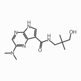 CN(C)c1cnc2[nH]cc(C(=O)NCC(C)(C)CO)c2n1